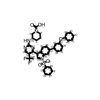 O=C(O)N1CCC[C@H](Nc2ncc(C(F)(F)F)c(-c3cn(S(=O)(=O)c4ccccc4)c4cc(-c5cccc(Oc6ccccc6)c5)ccc34)n2)C1